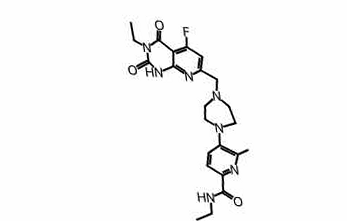 CCNC(=O)c1ccc(N2CCN(Cc3cc(F)c4c(=O)n(CC)c(=O)[nH]c4n3)CC2)c(C)n1